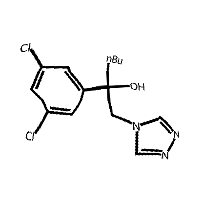 CCCCC(O)(Cn1cnnc1)c1cc(Cl)cc(Cl)c1